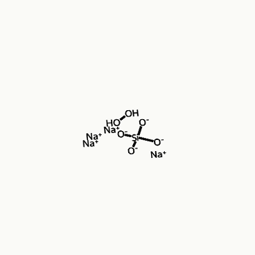 OO.[Na+].[Na+].[Na+].[Na+].[O-][Si]([O-])([O-])[O-]